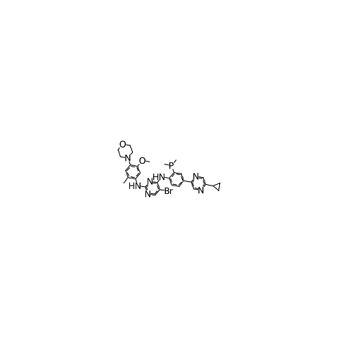 COc1cc(Nc2ncc(Br)c(Nc3ccc(-c4cnc(C5CC5)cn4)cc3P(C)C)n2)c(C)cc1N1CCOCC1